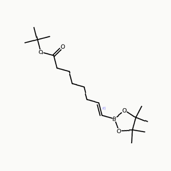 CC(C)(C)OC(=O)CCCCC/C=C/B1OC(C)(C)C(C)(C)O1